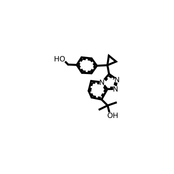 CC(C)(O)c1cccn2c(C3(c4ccc(CO)cc4)CC3)nnc12